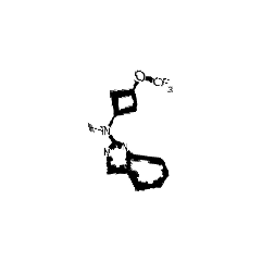 FC(F)(F)O[C@H]1C[C@@H](Nc2ncc3ccccc3n2)C1